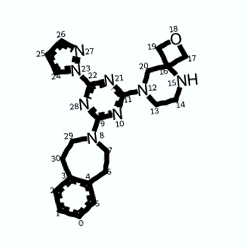 c1ccc2c(c1)CCN(c1nc(N3CCNC4(COC4)C3)nc(-n3cccn3)n1)CC2